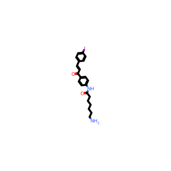 NCCCCCCC(=O)Nc1ccc(C(=O)/C=C/c2ccc(I)cc2)cc1